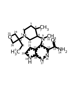 CCC1(N2CCC(C)C(N(C)c3c(C(N)=O)nnc4[nH]ccc34)C2)COC1